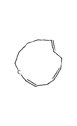 C1=C\C/C=C/CCCCC/C=C\C/1